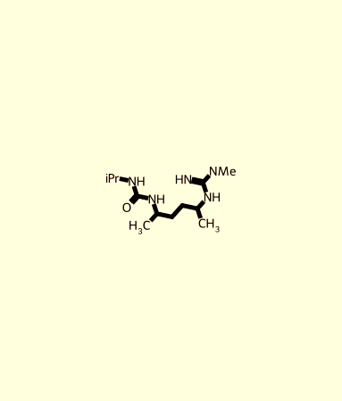 CNC(=N)NC(C)CCC(C)NC(=O)NC(C)C